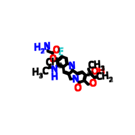 C=C1OCc2c(cc3n(c2=O)Cc2cc4c(NC(C)C)c(OC(=O)CN)c(F)cc4nc2-3)[C@@]1(O)CC